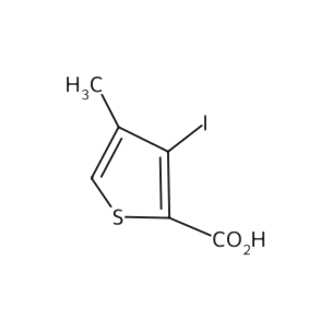 Cc1csc(C(=O)O)c1I